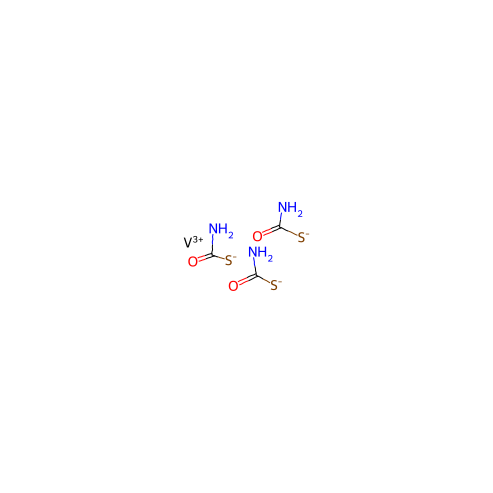 NC(=O)[S-].NC(=O)[S-].NC(=O)[S-].[V+3]